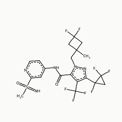 CC1(Cn2nc(C3(F)CC3(F)F)c(C(F)(F)F)c2C(=O)Nc2ccnc(S(C)(=N)=O)c2)CC(F)(F)C1